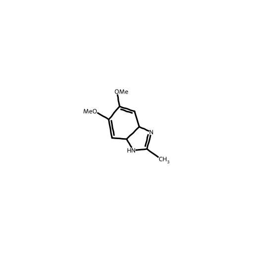 COC1=CC2N=C(C)NC2C=C1OC